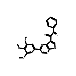 COc1cc(-c2cnc3[nH]cc(C(=O)C(=O)c4ccccc4)c3n2)cc(OC)c1OC